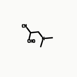 [C-]#[N+]C(C=O)CN(C)C